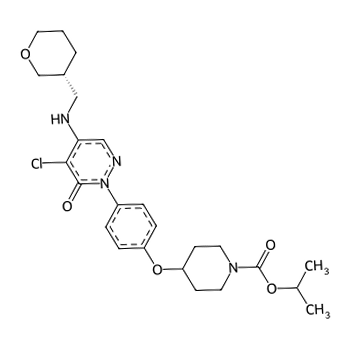 CC(C)OC(=O)N1CCC(Oc2ccc(-n3ncc(NC[C@H]4CCCOC4)c(Cl)c3=O)cc2)CC1